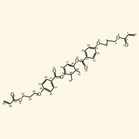 C=CC(=O)OCCCOc1ccc(C(=O)OC2=CC=C(OC(=O)c3ccc(OCCCOC(=O)C=C)cc3)C(C)C2C)cc1